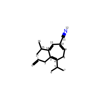 C=CCC1=C(C(C)C)CC=C(C#N)C=C1C(C)C